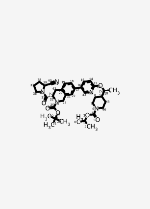 CC(C)OC(=O)N1CCC([C@H](C)Oc2ccc(-c3ccc4c(c3)CN(C(=O)OC(C)(C)C)[C@H](C(=O)N3CCCC3C#N)C4)cn2)CC1